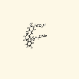 COCCOC1(C)C2=C3C=C4C=C(CC(=O)O)C(=O)C=C4OC3CCN2c2ccc(C)cc21